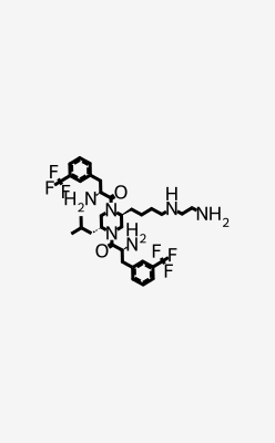 CC(C)C[C@@H]1CN(C(=O)[C@H](N)Cc2cccc(C(F)(F)F)c2)[C@@H](CCCCNCCN)CN1C(=O)[C@H](N)Cc1cccc(C(F)(F)F)c1